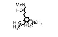 CNCC(O)CCc1cc(CN(C)C)c(O)c(CN(C)C)c1